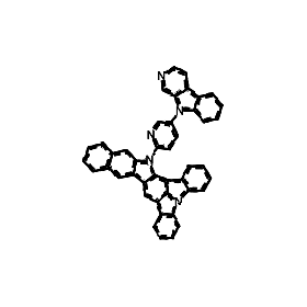 c1ccc2cc3c(cc2c1)c1cc2c4ccccc4n4c5ccccc5c(c1n3-c1ccc(-n3c5ccccc5c5ccncc53)cn1)c24